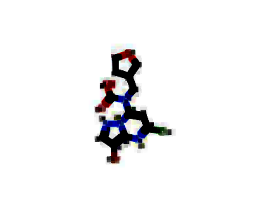 O=C(O)N(CC1CCOC1)c1cc(Cl)nc2c(Br)cnn12